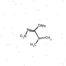 COC(=N[N+](=O)[O-])N(C)C